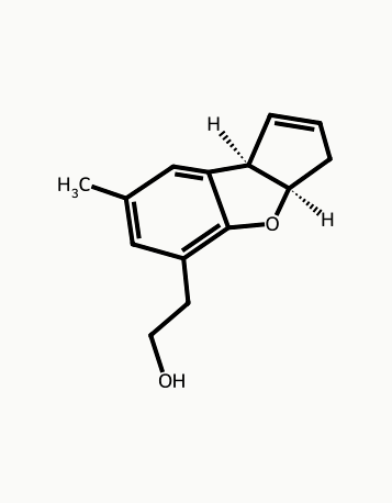 Cc1cc(CCO)c2c(c1)[C@H]1C=CC[C@H]1O2